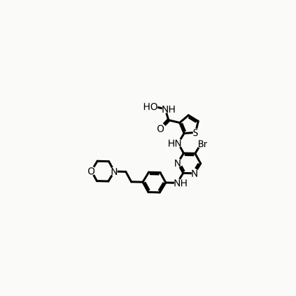 O=C(NO)c1ccsc1Nc1nc(Nc2ccc(CCN3CCOCC3)cc2)ncc1Br